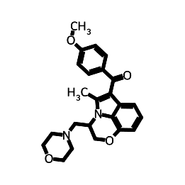 COc1ccc(C(=O)c2c(C)n3c4c(cccc24)OCC3CN2CCOCC2)cc1